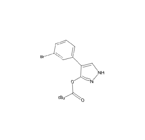 CC(C)(C)C(=O)Oc1n[nH]cc1-c1cccc(Br)c1